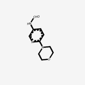 O=CNc1ccc(N2CCOCC2)nc1